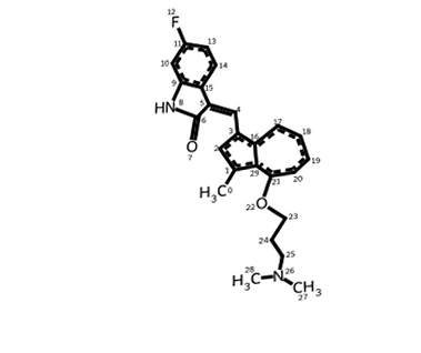 Cc1cc(/C=C2\C(=O)Nc3cc(F)ccc32)c2ccccc(OCCCN(C)C)c1-2